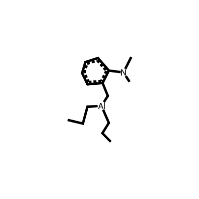 CC[CH2][Al]([CH2]CC)[CH2]c1ccccc1N(C)C